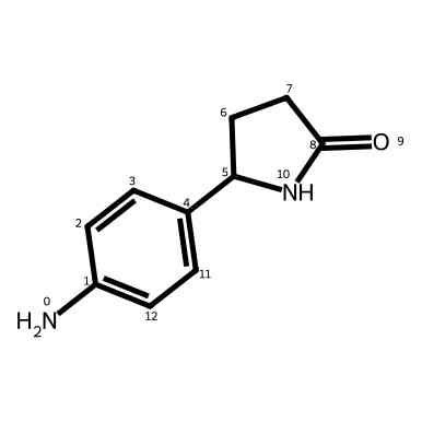 Nc1ccc(C2CCC(=O)N2)cc1